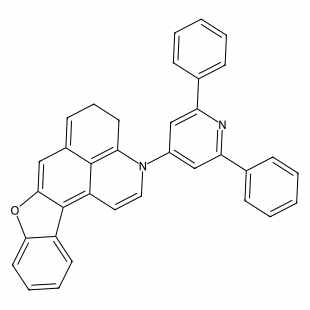 C1=CN(c2cc(-c3ccccc3)nc(-c3ccccc3)c2)C2=c3c1c1c(cc3=CCC2)oc2ccccc21